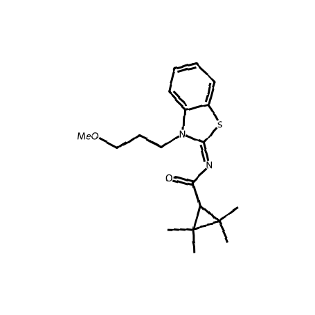 COCCCn1c(=NC(=O)C2C(C)(C)C2(C)C)sc2ccccc21